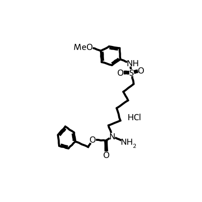 COc1ccc(NS(=O)(=O)CCCCCCN(N)C(=O)OCc2ccccc2)cc1.Cl